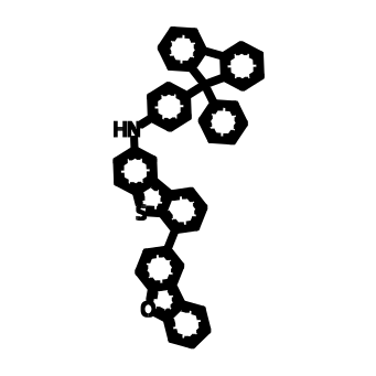 c1ccc(C2(c3ccc(Nc4ccc5sc6c(-c7ccc8oc9ccccc9c8c7)cccc6c5c4)cc3)c3ccccc3-c3ccccc32)cc1